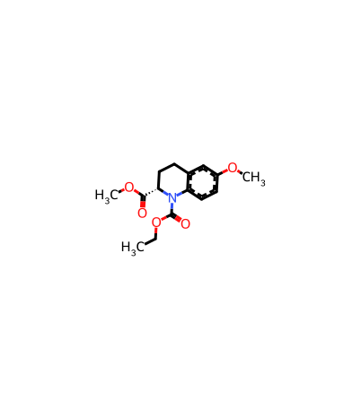 CCOC(=O)N1c2ccc(OC)cc2CC[C@H]1C(=O)OC